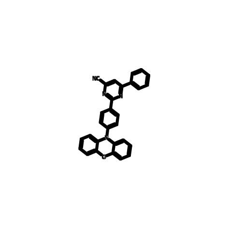 N#Cc1cc(-c2ccccc2)nc(-c2ccc(N3c4ccccc4Oc4ccccc43)cc2)n1